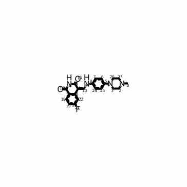 CN1CCN(c2ccc(N/C=C3\C(=O)NC(=O)c4ccc(F)cc43)cc2)CC1